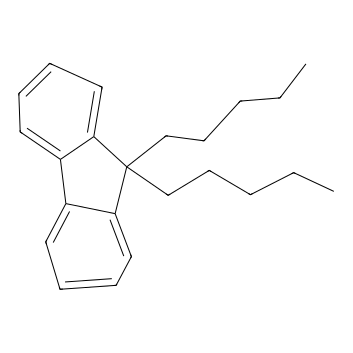 CCCCCC1(CCCCC)c2ccccc2-c2ccccc21